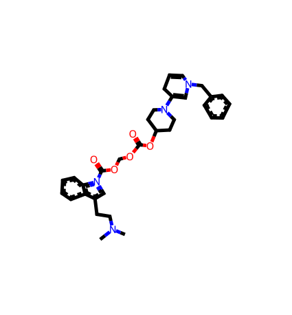 CN(C)CCc1cn(C(=O)OCOC(=O)OC2CCN(C3=CN(Cc4ccccc4)C=CC3)CC2)c2ccccc12